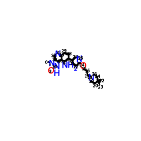 Cn1c(=O)[nH]c2c3c(N)c(-c4ccc(OCCCN5CCC(C)(C)CC5)nc4)ccc3ncc21